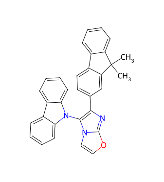 CC1(C)c2ccccc2-c2ccc(-c3nc4occn4c3-n3c4ccccc4c4ccccc43)cc21